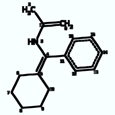 C=C(C)NC(=C1CCCCC1)c1ccccc1